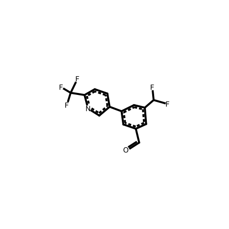 O=Cc1cc(-c2ccc(C(F)(F)F)nc2)cc(C(F)F)c1